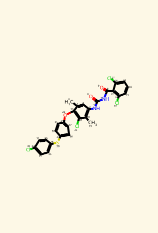 Cc1cc(NC(=O)NC(=O)c2c(Cl)cccc2Cl)c(C)c(Cl)c1Oc1ccc(Sc2ccc(Cl)cc2)cc1